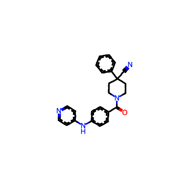 N#CC1(c2ccccc2)CCN(C(=O)c2ccc(Nc3ccncc3)cc2)CC1